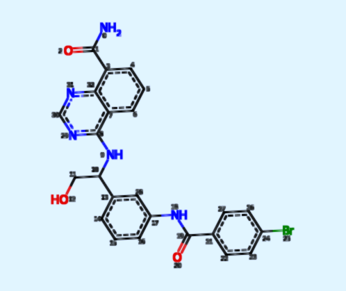 NC(=O)c1cccc2c(NC(CO)c3cccc(NC(=O)c4ccc(Br)cc4)c3)ncnc12